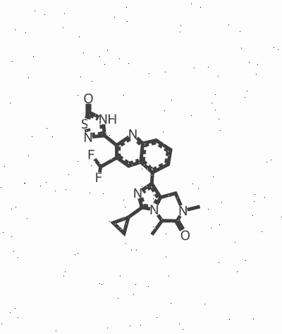 CC1C(=O)N(C)Cc2c(-c3cccc4nc(-c5nsc(=O)[nH]5)c(C(F)F)cc34)nc(C3CC3)n21